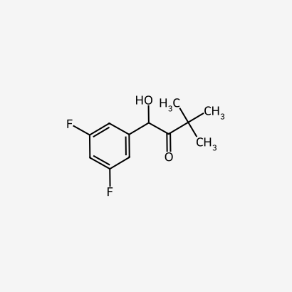 CC(C)(C)C(=O)C(O)c1cc(F)cc(F)c1